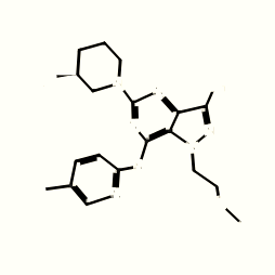 CCOCCn1nc(C(C)C)c2nc(N3CCC[C@H](C(=O)O)C3)nc(Nc3ccc(C)cn3)c21